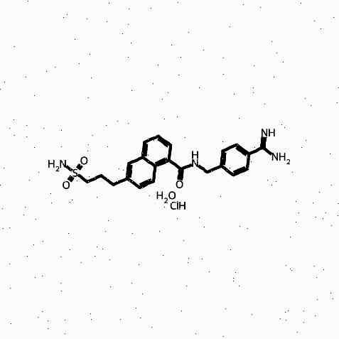 Cl.N=C(N)c1ccc(CNC(=O)c2cccc3cc(CCCS(N)(=O)=O)ccc23)cc1.O